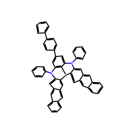 c1ccc(-c2ccc(-c3cc4c5c(c3)N(c3ccccc3)c3cc6cc7ccccc7cc6cc3B5c3cc5cc6ccccc6cc5cc3N4c3ccccc3)cc2)cc1